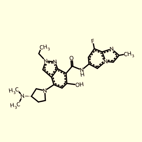 CCn1cc2c(N3CC[C@H](N(C)C)C3)cc(O)c(C(=O)Nc3cc(F)c4nc(C)cn4c3)c2n1